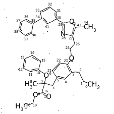 CCCc1cc(CC(C)(Oc2ccccc2)C(=O)OCC)ccc1OCCc1nc(-c2cccc(-c3ccccc3)c2)oc1C